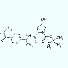 Cc1ncsc1-c1ccc(C(C)NC(=O)[C@@H]2CC(O)CN2C(=O)OC(C)(C)C)cc1